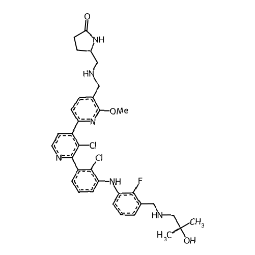 COc1nc(-c2ccnc(-c3cccc(Nc4cccc(CNCC(C)(C)O)c4F)c3Cl)c2Cl)ccc1CNCC1CCC(=O)N1